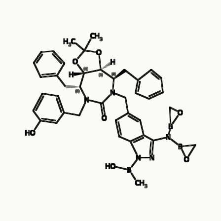 CB(O)n1nc(N(B2CO2)B2CO2)c2cc(CN3C(=O)N(Cc4cccc(O)c4)[C@H](Cc4ccccc4)[C@@H]4OC(C)(C)O[C@H]4[C@H]3Cc3ccccc3)ccc21